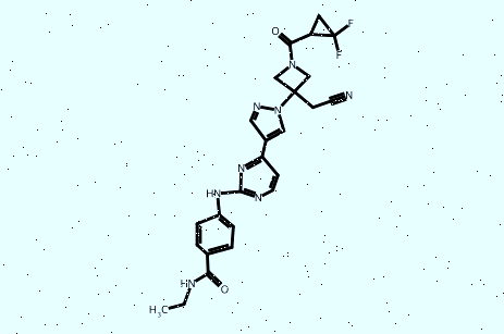 CCNC(=O)c1ccc(Nc2nccc(-c3cnn(C4(CC#N)CN(C(=O)C5CC5(F)F)C4)c3)n2)cc1